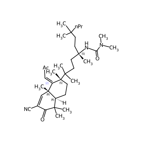 CCCC(C)(C)CC[C@@](C)(CCC(C)(C)[C@]1(C)CC[C@H]2C(C)(C)C(=O)C(C#N)=C[C@]2(C)/C1=C/C(C)=O)NC(=O)N(C)C